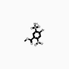 COC(=O)c1cc(S(N)(=O)=O)c(Br)cc1[N+](=O)[O-]